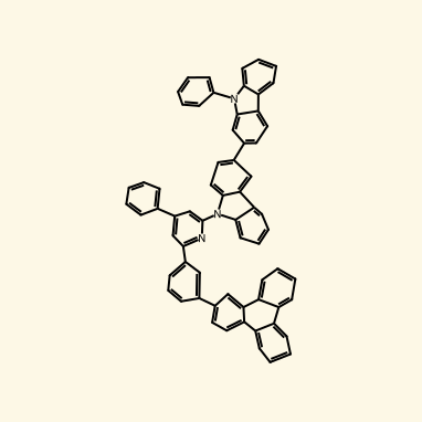 c1ccc(-c2cc(-c3cccc(-c4ccc5c6ccccc6c6ccccc6c5c4)c3)nc(-n3c4ccccc4c4cc(-c5ccc6c7ccccc7n(-c7ccccc7)c6c5)ccc43)c2)cc1